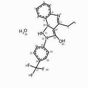 CCC1=Nc2ccccc2N2NN(c3ccc(C(F)(F)F)cc3)C(O)=C12.O